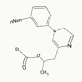 CCCCCCCCCc1cccc(N2C=C(CC(C)OC(=O)CC)N=CC2)c1